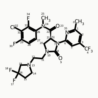 Cc1cc(C(F)(F)F)cc(N2C(=O)N(CCN3CCC(F)(F)C3)C[C@H]2C(=O)N(C)c2ccc(F)c(Cl)c2F)n1